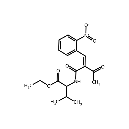 CCOC(=O)C(NC(=O)C(=Cc1ccccc1[N+](=O)[O-])C(C)=O)C(C)C